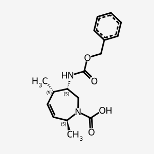 C[C@H]1C=C[C@H](C)N(C(=O)O)C[C@H]1NC(=O)OCc1ccccc1